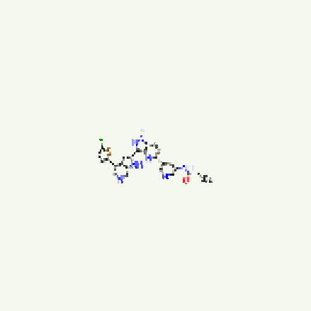 CC(C)(C)CC(=O)Nc1cncc(-c2ccc3[nH]nc(-c4cc5c(-c6ccc(F)s6)cncc5[nH]4)c3n2)c1